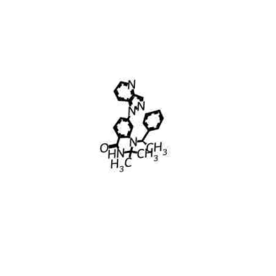 C[C@H](c1ccccc1)N1c2cc(-n3ncc4ncccc43)ccc2C(=O)NC1(C)C